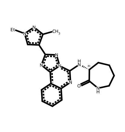 CCn1cc(-c2nc3c4ccccc4nc(N[C@@H]4CCCCNC4=O)n3n2)c(C)n1